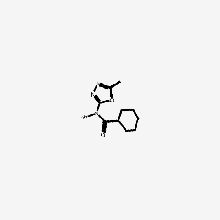 CCCN(C(=O)C1CCCCC1)c1nnc(C)o1